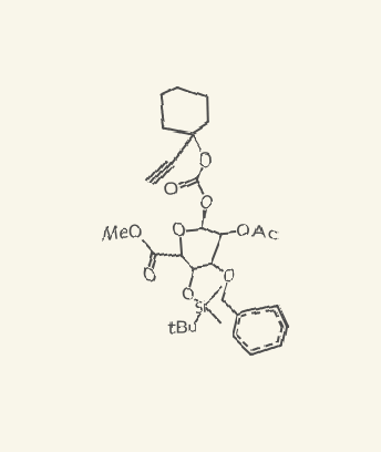 C#CC1(OC(=O)O[C@@H]2OC(C(=O)OC)C(O[Si](C)(C)C(C)(C)C)C(OCc3ccccc3)C2OC(C)=O)CCCCC1